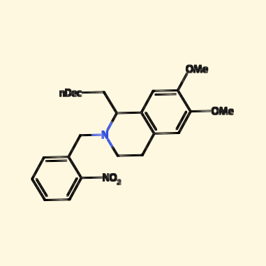 CCCCCCCCCCCC1c2cc(OC)c(OC)cc2CCN1Cc1ccccc1[N+](=O)[O-]